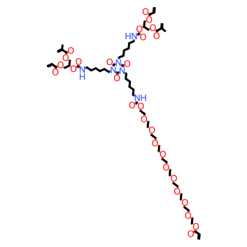 C=CC(=O)OCCOCCOCCOCCOCCOCCOCCOCCOCCOCCOC(=O)NCCCCCCn1c(=O)n(CCCCCCNC(=O)OC(COC(=O)C=C)COC(=O)C(=C)C)c(=O)n(CCCCCCNC(=O)OC(COC(=O)C=C)COC(=O)C(=C)C)c1=O